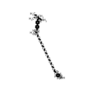 C=C(C1=Cc2ccc(-c3ccc(C(=O)N[C@@H](C)C(=O)NCCOCCOCCOCCOCCOCCOCCOCCOCCOCCOCCC(=O)Oc4c(F)c(F)c(S(=O)(=O)O)c(F)c4F)cc3)cc2N=C(N)C1)N(CCC)OCC